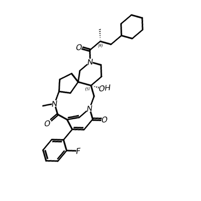 C[C@H](CC1CCCCC1)C(=O)N1CC[C@@]2(O)Cn3cc(c(-c4ccccc4F)cc3=O)C(=O)N(C)C3CCC2(C3)C1